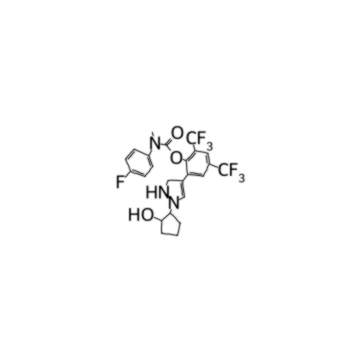 CN(C(=O)Oc1c(C2=CN(C3CCCC3O)NC2)cc(C(F)(F)F)cc1C(F)(F)F)c1ccc(F)cc1